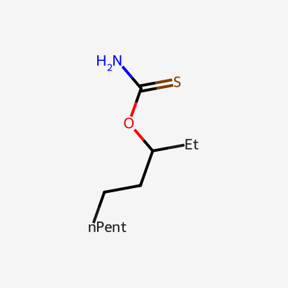 CCCCCCCC(CC)OC(N)=S